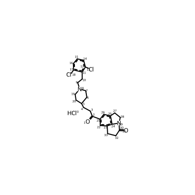 Cl.O=C(CCC1CCN(CCc2c(Cl)cccc2Cl)CC1)c1cc2c3c(c1)CCN3C(=O)CC2